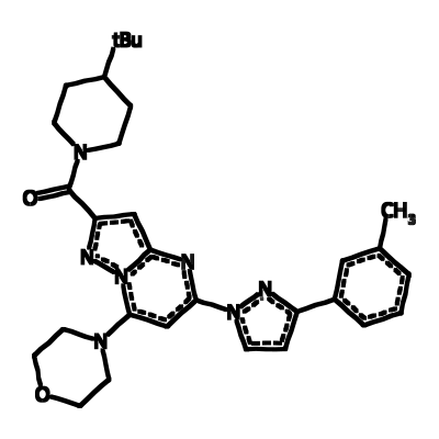 Cc1cccc(-c2ccn(-c3cc(N4CCOCC4)n4nc(C(=O)N5CCC(C(C)(C)C)CC5)cc4n3)n2)c1